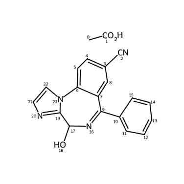 CC(=O)O.N#Cc1ccc2c(c1)C(c1ccccc1)=NC(O)c1nccn1-2